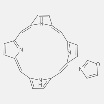 C1=Cc2cc3ccc(cc4nc(cc5ccc(cc1n2)[nH]5)C=C4)[nH]3.c1cocn1